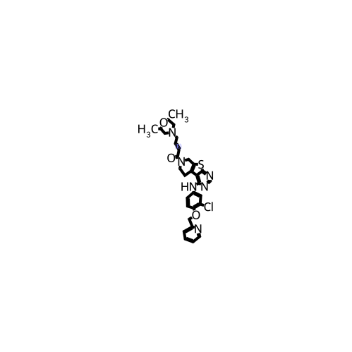 CC1CN(C/C=C/C(=O)N2CCc3c(sc4ncnc(Nc5ccc(OCc6ccccn6)c(Cl)c5)c34)C2)CC(C)O1